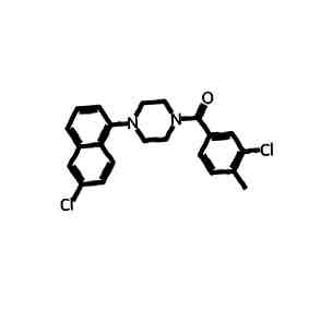 Cc1ccc(C(=O)N2CCN(c3cccc4cc(Cl)ccc34)CC2)cc1Cl